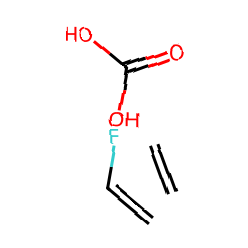 C=C.C=CF.O=C(O)O